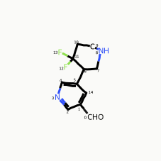 O=Cc1cncc(C2CNCCC2(F)F)c1